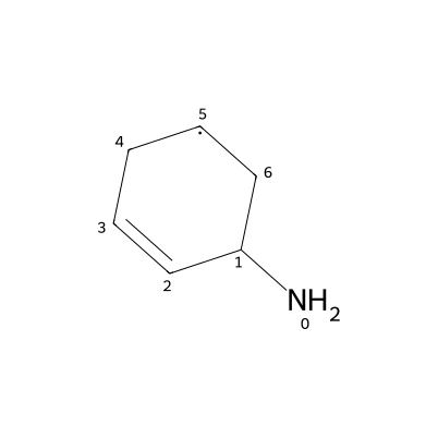 NC1C=CC[CH]C1